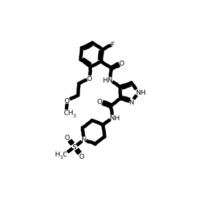 COCCOc1cccc(F)c1C(=O)Nc1c[nH]nc1C(=O)NC1CCN(S(C)(=O)=O)CC1